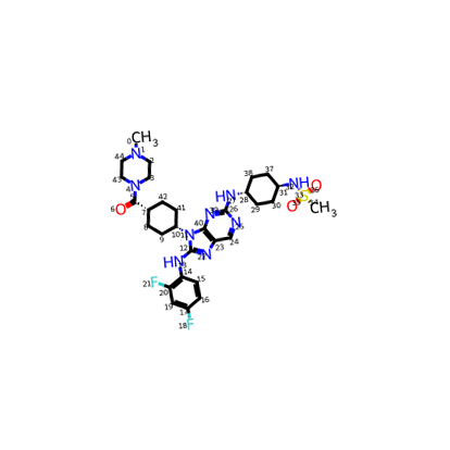 CN1CCN(C(=O)[C@H]2CC[C@@H](n3c(Nc4ccc(F)cc4F)nc4cnc(N[C@H]5CC[C@H](NS(C)(=O)=O)CC5)nc43)CC2)CC1